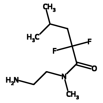 CC(C)CC(F)(F)C(=O)N(C)CCN